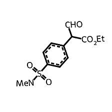 CCOC(=O)C(C=O)c1ccc(S(=O)(=O)NC)cc1